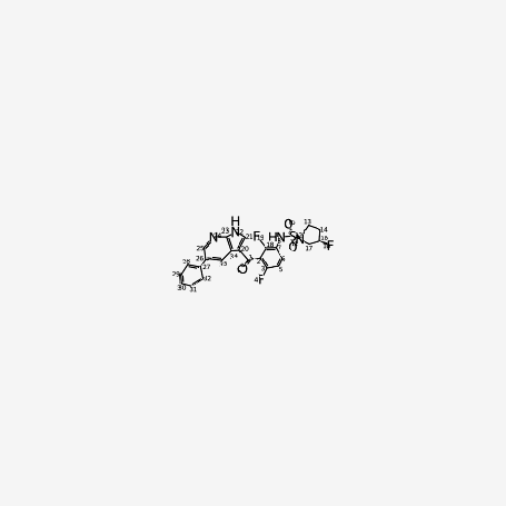 O=C(c1c(F)ccc(NS(=O)(=O)N2CC[C@@H](F)C2)c1F)c1c[nH]c2ncc(-c3ccccc3)cc12